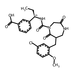 CC[C@@H](NC(=O)N1CC(=O)NCC(Cc2cc(Cl)ccc2OC)C1=O)c1cccc(C(=O)O)c1